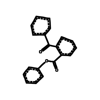 O=C(Oc1ccccc1)c1ccccc1C(=O)c1ccccc1